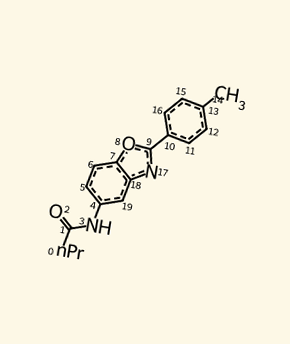 CCCC(=O)Nc1ccc2oc(-c3ccc(C)cc3)nc2c1